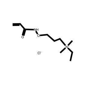 C=CC(=O)NOCCC[N+](C)(C)CC.[Cl-]